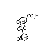 O=C(O)C1=C[C@H](OC(=O)C2=C3OC3(O)CCC2)[C@@H]2O[C@H]2C1